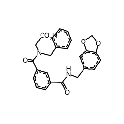 O=C(O)CN(Cc1ccccc1)C(=O)c1cccc(C(=O)NCc2ccc3c(c2)OCO3)c1